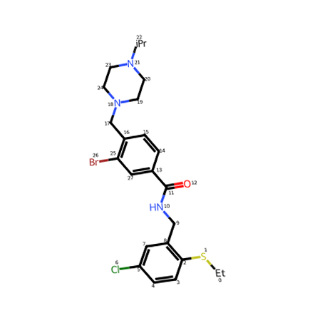 CCSc1ccc(Cl)cc1CNC(=O)c1ccc(CN2CCN(C(C)C)CC2)c(Br)c1